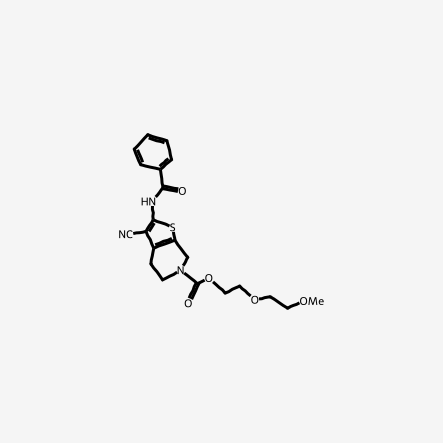 COCCOCCOC(=O)N1CCc2c(sc(NC(=O)c3ccccc3)c2C#N)C1